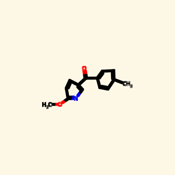 COc1ccc(C(=O)c2ccc(C)cc2)cn1